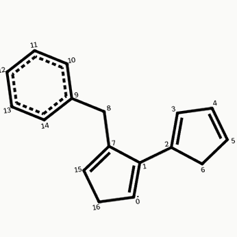 [C]1=C(C2=CC=CC2)C(Cc2ccccc2)=CC1